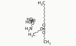 CCCCCCCCCCCCOC[C@@H](COCCCCC)OCCCCC.NCCOP(=O)(O)O